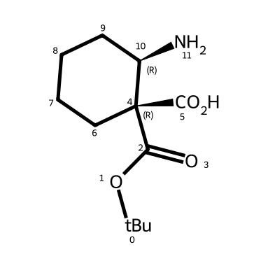 CC(C)(C)OC(=O)[C@]1(C(=O)O)CCCC[C@H]1N